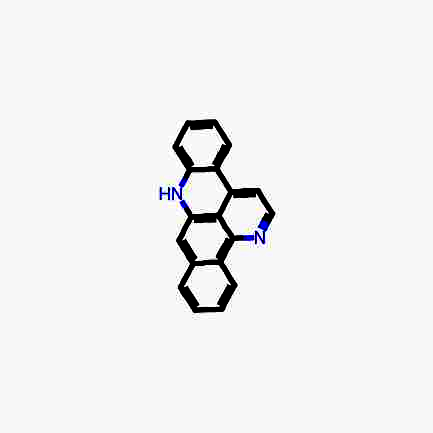 c1ccc2c(c1)Nc1cc3ccccc3c3nccc-2c13